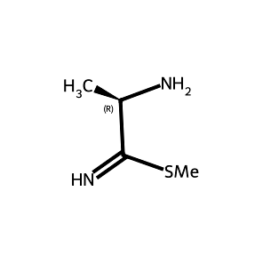 CSC(=N)[C@@H](C)N